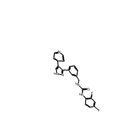 O=C(NCc1cccc(-c2n[nH]cc2-c2ccncc2)c1)Nc1ccc(F)cc1F